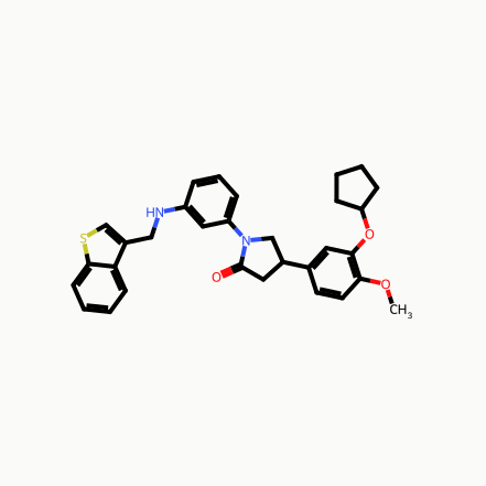 COc1ccc(C2CC(=O)N(c3cccc(NCc4csc5ccccc45)c3)C2)cc1OC1CCCC1